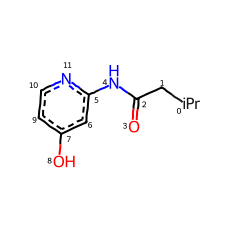 CC(C)CC(=O)Nc1cc(O)ccn1